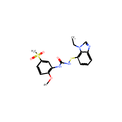 CC(C)Oc1ccc(S(C)(=O)=O)cc1NC(=O)NSc1cccc2ncn(CC(F)(F)F)c12